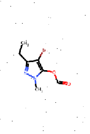 CCc1nn(C)c(OC=O)c1Br